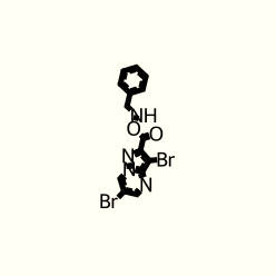 O=C(ONCc1ccccc1)c1nn2cc(Br)cnc2c1Br